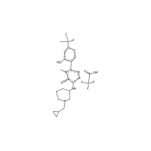 Cn1c(-c2ccc(C(F)(F)F)cc2O)nnc(NC2CCCN(CC3CC3)C2)c1=O.O=C(O)C(F)(F)F